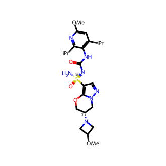 COc1cc(C(C)C)c(NC(=O)N=[S@](N)(=O)c2cnn3c2OC[C@@H](N2CC(OC)C2)C3)c(C(C)C)n1